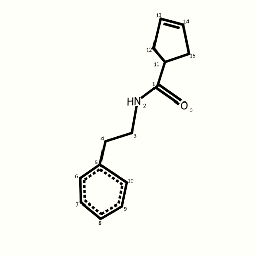 O=C(NCCc1ccccc1)C1CC=CC1